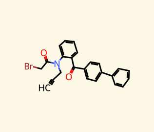 C#CCN(C(=O)CBr)c1ccccc1C(=O)c1ccc(-c2ccccc2)cc1